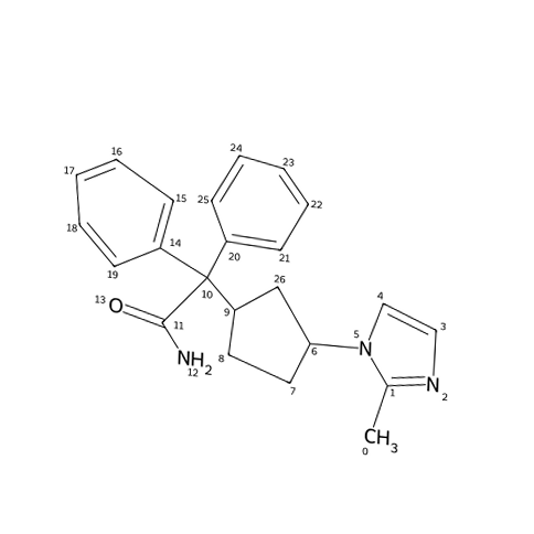 Cc1nccn1C1CCC(C(C(N)=O)(c2ccccc2)c2ccccc2)C1